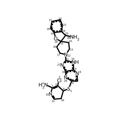 NC1=C(Cl)C(Sc2cnc3[nH]c(N4CCC5(CC4)Oc4ccccc4C5N)nc3n2)CC=N1